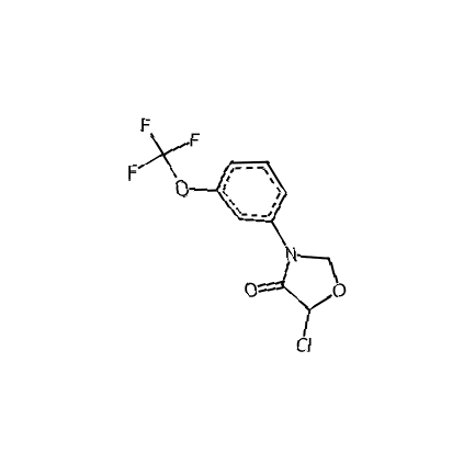 O=C1C(Cl)OCN1c1cccc(OC(F)(F)F)c1